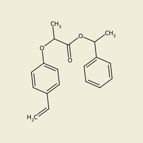 C=Cc1ccc(OC(C)C(=O)OC(C)c2ccccc2)cc1